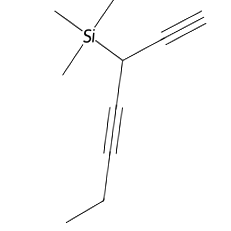 C#CC(C#CCC)[Si](C)(C)C